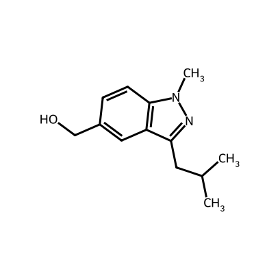 CC(C)Cc1nn(C)c2ccc(CO)cc12